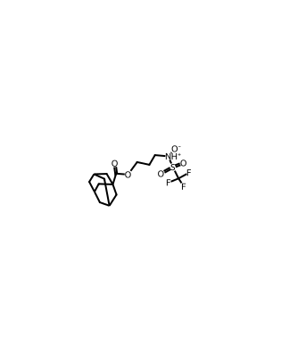 O=C(OCCC[NH+]([O-])S(=O)(=O)C(F)(F)F)C12CC3CC(CC(C3)C1)C2